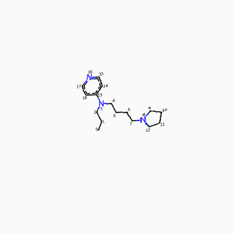 CCCN(CCCCN1CCCC1)c1ccncc1